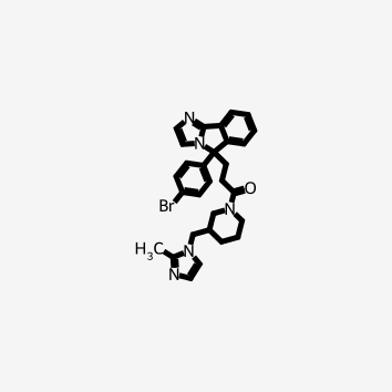 Cc1nccn1CC1CCCN(C(=O)CCC2(c3ccc(Br)cc3)c3ccccc3-c3nccn32)C1